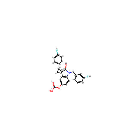 O=C(O)Oc1ccc2c(c1)[C@@]1(C[C@@H]1c1ccc(F)cc1)C(=O)N2Cc1cccc(F)c1